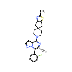 Cc1nc2c(s1)CC1(CCN(c3nc(C)c(-c4ccccc4F)n4nccc34)CC1)C2